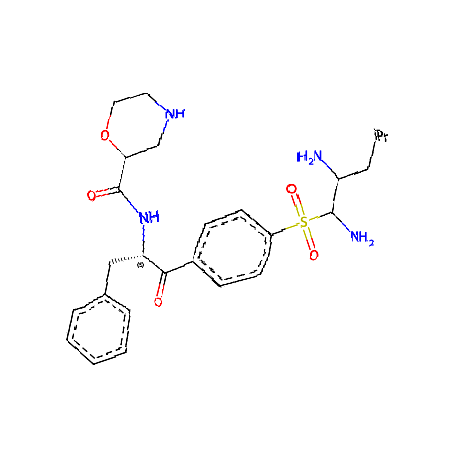 CC(C)CC(N)C(N)S(=O)(=O)c1ccc(C(=O)[C@H](Cc2ccccc2)NC(=O)C2CNCCO2)cc1